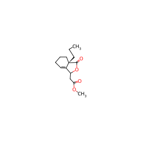 CCC[C@]12CCCC=C1C(CC(=O)OC)OC2=O